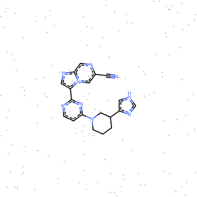 N#Cc1cn2c(-c3nccc(N4CCCC(c5c[nH]cn5)C4)n3)cnc2cn1